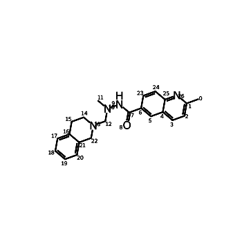 Cc1ccc2cc(C(=O)NN(C)CN3CCc4ccccc4C3)ccc2n1